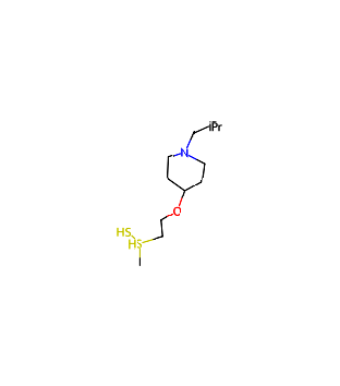 CC(C)CN1CCC(OCC[SH](C)S)CC1